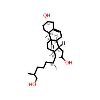 CC(CO)CCC[C@@H](C)[C@H]1C(O)C[C@H]2[C@@H]3CC=C4C[C@@H](O)CC[C@]4(C)[C@H]3CC[C@]12C